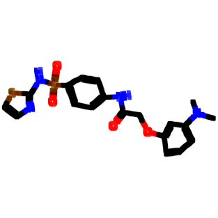 CN(C)c1cccc(OCC(=O)Nc2ccc(S(=O)(=O)Nc3nccs3)cc2)c1